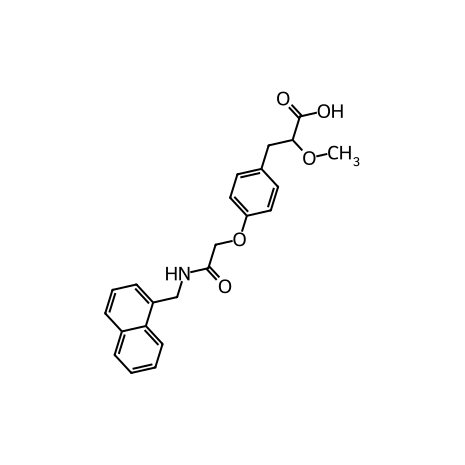 COC(Cc1ccc(OCC(=O)NCc2cccc3ccccc23)cc1)C(=O)O